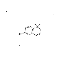 CC(=O)c1ccc2c(c1)C=CCC2(C)C